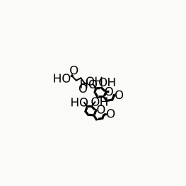 O=C(O)CCC(=O)O.O=c1ccc2ccc(O)c(O)c2o1.O=c1ccc2ccc(O)c(O)c2o1